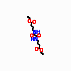 C=COC(=O)CCCNC(=O)C(=O)NCCCC(=O)OC=C